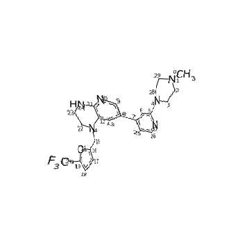 CN1CCN(c2cc(-c3cnc4c(c3)N(Cc3ccc(C(F)(F)F)o3)CCN4)ccn2)CC1